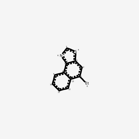 CCc1cc2scnc2c2ccccc12